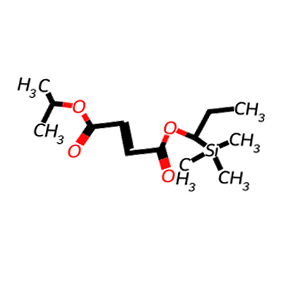 CCC(OC(=O)/C=C/C(=O)OC(C)C)[Si](C)(C)C